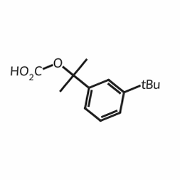 CC(C)(C)c1cccc(C(C)(C)OC(=O)O)c1